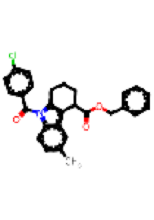 Cc1ccc2c(c1)c1c(n2C(=O)c2ccc(Cl)cc2)CCCC1C(=O)OCc1ccccc1